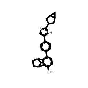 Cc1ccc(-c2ccc(-c3cnc(C4CC5CC5C4)[nH]3)cc2)c2c1C1CCC2C1